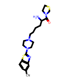 N#Cc1ccc2sc(N3CCN(CCCCC(N)C(=O)N4CCSC4)CC3)nc2c1